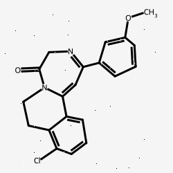 COc1cccc(C2=NCC(=O)N3CCc4c(Cl)cccc4C3=C2)c1